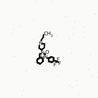 CCCCN1CCC(N(Cc2ccccc2)C(=O)Nc2ccc(C(F)(F)F)cc2)CC1